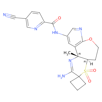 C[C@]12N=C(N)C3(CCC3)S(=O)(=O)[C@@H]1CCOc1ncc(NC(=O)c3ccc(C#N)cn3)cc12